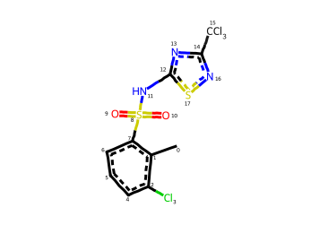 Cc1c(Cl)cccc1S(=O)(=O)Nc1nc(C(Cl)(Cl)Cl)ns1